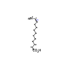 CCC/C=C\CCCCCCCCCC(=O)O